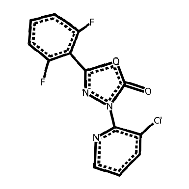 O=c1oc(-c2c(F)cccc2F)nn1-c1ncccc1Cl